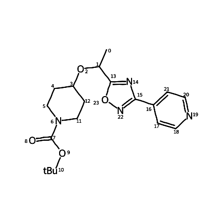 CC(OC1CCN(C(=O)OC(C)(C)C)CC1)c1nc(-c2ccncc2)no1